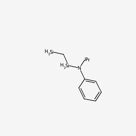 CC(C)N([SiH2]C[SiH3])c1ccccc1